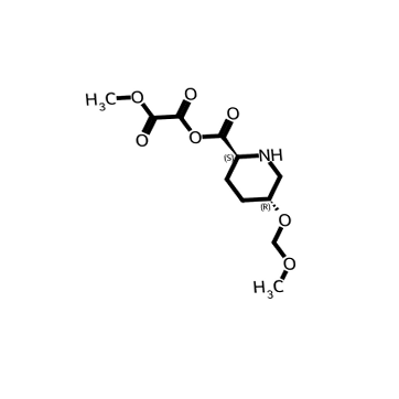 COCO[C@@H]1CC[C@@H](C(=O)OC(=O)C(=O)OC)NC1